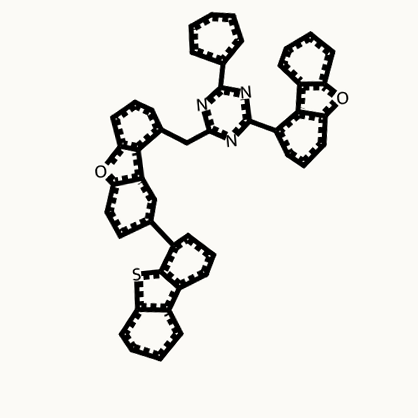 c1ccc(-c2nc(Cc3cccc4oc5ccc(-c6cccc7c6sc6ccccc67)cc5c34)nc(-c3cccc4oc5ccccc5c34)n2)cc1